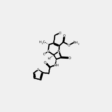 BOC(=O)C1=C(CCl)[C@@H](C)[S+]([O-])[C@@H]2[C@H](NC(=O)Cc3cccs3)C(=O)N12